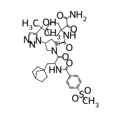 CC(C)(O)c1cnnn1C1C[C@@H](C(=O)NC2(C(=O)C(N)=O)CCCCC2)N(C(=O)C(CC23CCC(CC2)C3)NC(=O)c2ccc(S(C)(=O)=O)cc2)C1